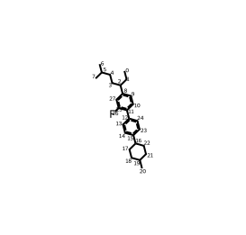 CCC(CCC(C)C)c1ccc(-c2ccc(C3CCC(C)CC3)cc2)c(F)c1